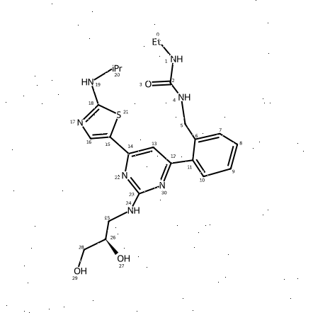 CCNC(=O)NCc1ccccc1-c1cc(-c2cnc(NC(C)C)s2)nc(NC[C@@H](O)CO)n1